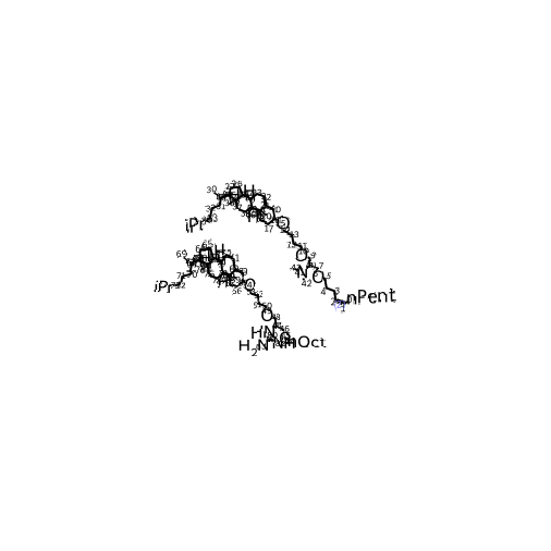 CCCCC/C=C\CCCOC[C@H](COCCCCOC1CC[C@@]2(C)C(=CC[C@H]3[C@@H]4CC[C@H]([C@H](C)CCCC(C)C)[C@@]4(C)CC[C@@H]32)C1)N(C)C.CCCCCCCCOC[C@H](COCCCCOC1CC[C@@]2(C)C(=CC[C@H]3[C@@H]4CC[C@H]([C@H](C)CCCC(C)C)[C@@]4(C)CC[C@@H]32)C1)NC(=N)N